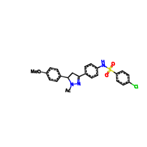 COc1ccc(C2CC(c3ccc(NS(=O)(=O)c4ccc(Cl)cc4)cc3)=NN2C(C)=O)cc1